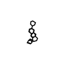 C1=CC2CC1CC21CCCc2cc3cc(C4CCCCC4)ccc3cc21